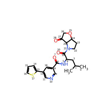 CC(C)CC(NC(=O)c1cncc(-c2cccs2)c1)C(=O)N1CCC2OCC(=O)C21